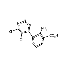 Nc1c(C(=O)O)cccc1-c1nnnc(Cl)c1Cl